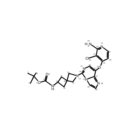 CC(C)(C)OC(=O)NC1CC2(C1)CN(c1ncc(Sc3ccnc(N)c3Cl)c3nccn13)C2